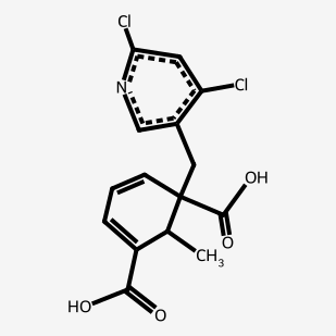 CC1C(C(=O)O)=CC=CC1(Cc1cnc(Cl)cc1Cl)C(=O)O